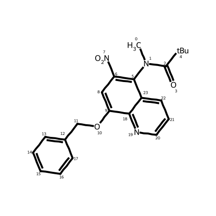 CN(C(=O)C(C)(C)C)c1c([N+](=O)[O-])cc(OCc2ccccc2)c2ncccc12